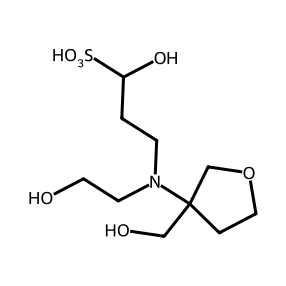 O=S(=O)(O)C(O)CCN(CCO)C1(CO)CCOC1